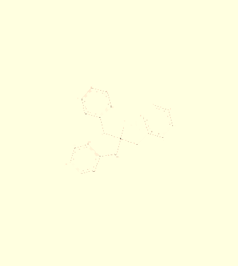 [AsH2]C(Cc1ccccc1)(Cc1ccccc1)Cc1ccccc1